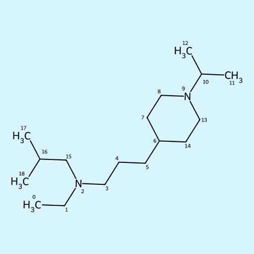 CCN(CCCC1CCN(C(C)C)CC1)CC(C)C